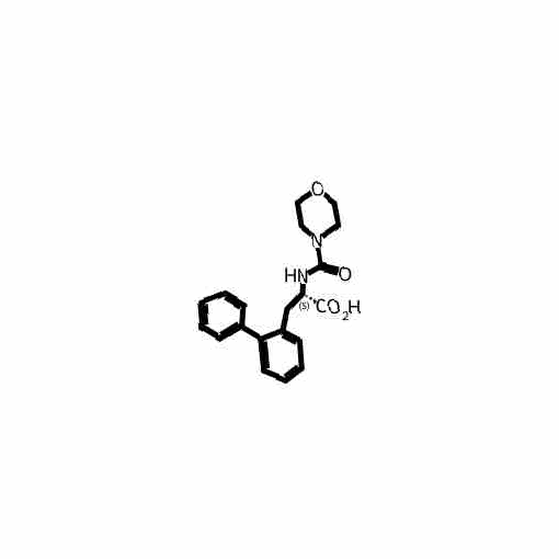 O=C(O)[C@H](Cc1ccccc1-c1ccccc1)NC(=O)N1CCOCC1